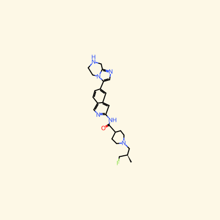 C[C@@H](CF)CN1CCC(C(=O)Nc2cc3cc(-c4cnc5n4CCNC5)ccc3cn2)CC1